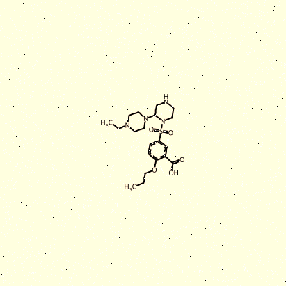 CCCOc1ccc(S(=O)(=O)N2CCNCC2N2CCN(CC)CC2)cc1C(=O)O